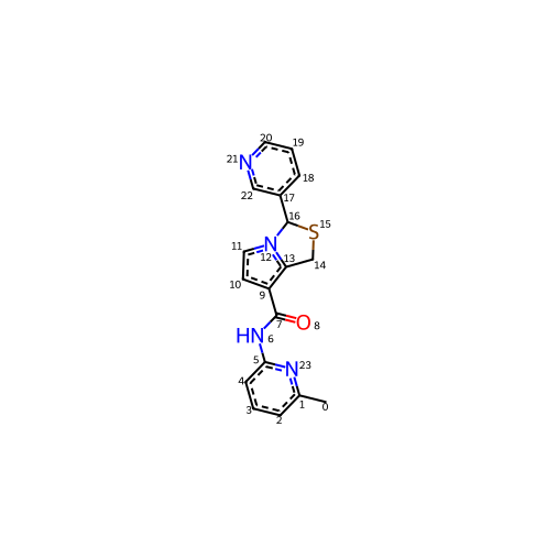 Cc1cccc(NC(=O)c2ccn3c2CSC3c2cccnc2)n1